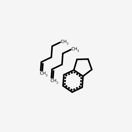 C=CCCC.C=CCCC.c1ccc2c(c1)CCC2